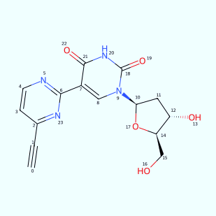 C#Cc1ccnc(-c2cn([C@H]3C[C@H](O)[C@@H](CO)O3)c(=O)[nH]c2=O)n1